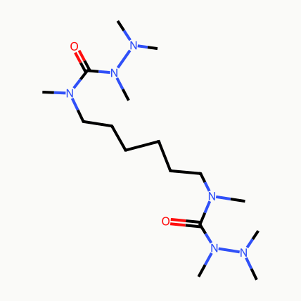 CN(CCCCCCN(C)C(=O)N(C)N(C)C)C(=O)N(C)N(C)C